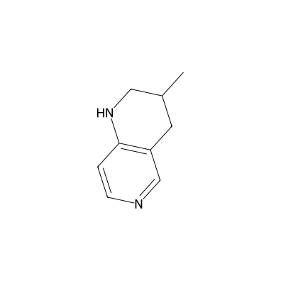 CC1CNc2ccncc2C1